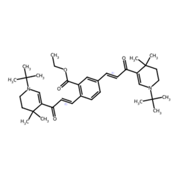 CCOC(=O)c1cc(/C=C/C(=O)C2=CN(C(C)(C)C)CCC2(C)C)ccc1/C=C/C(=O)C1=CN(C(C)(C)C)CCC1(C)C